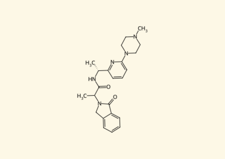 CC(C(=O)N[C@H](C)c1cccc(N2CCN(C)CC2)n1)N1Cc2ccccc2C1=O